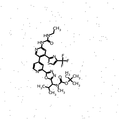 CCNC(=O)Nc1cc(-c2nc(C(F)(F)F)cs2)c(-c2ccnc(-c3nnc(C(C(C)C)N(C)C(=O)OC(C)(C)C)o3)c2)cn1